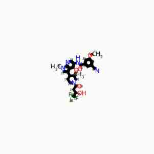 COc1cc(C#N)cc(C(=O)Nc2cnc3c(c(C4CCN(C(=O)C[C@@H](O)C(F)(F)F)CC4)cn3C)c2OC)c1